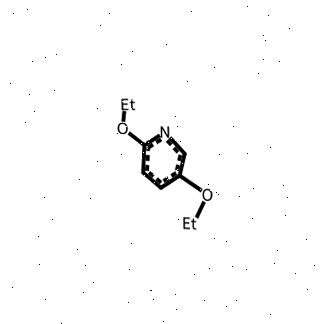 CCOc1ccc(OCC)nc1